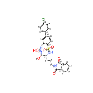 O=C(NO)[C@@H](CCCN1C(=O)c2ccccc2C1=O)NS(=O)(=O)c1ccc(-c2ccc(Cl)cc2)cc1